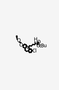 C#CCOCCOC1=CC=C2C(=CCc3ccc(Cl)cc3N2CCCCNC(=O)OC(C)(C)C)C1